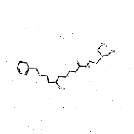 CCN(CC)CCNC(=O)CCCCC(C)CCSCc1ccccc1